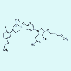 CCOc1ccc(F)c(N2CC[C@@H](Oc3cnc(N4CC(OCCCOC)C(C)C4CC(=O)O)cn3)[C@H](C)C2)c1